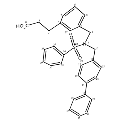 O=C(O)CCc1cccc(CN(Cc2ccc(-c3ccccc3)cc2)S(=O)(=O)c2ccccc2)c1